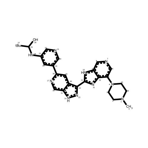 CN1CCN(c2cncc3[nH]c(-c4n[nH]c5cnc(-c6cncc(NC(O)C(C)(C)C)c6)cc45)nc23)CC1